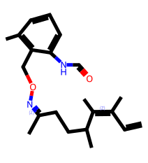 C=C/C(C)=C(/C)C(C)CC/C(C)=N\OCc1c(C)cccc1NC=O